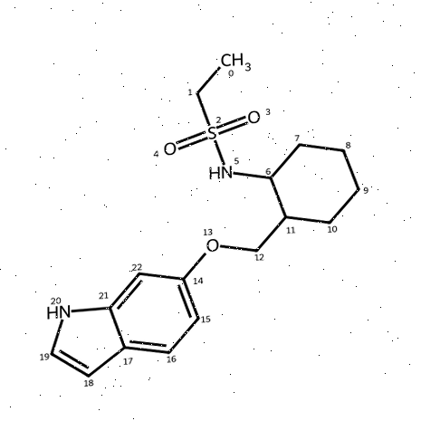 CCS(=O)(=O)NC1CCCCC1COc1ccc2cc[nH]c2c1